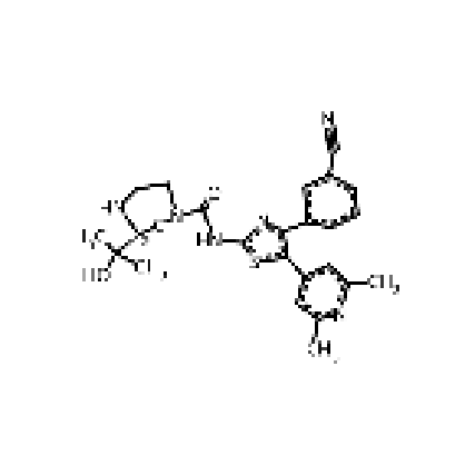 Cc1cc(-c2sc(NC(=O)N3CCN[C@H](C(C)(C)O)C3)nc2-c2cccc(C#N)c2)cc(C)n1